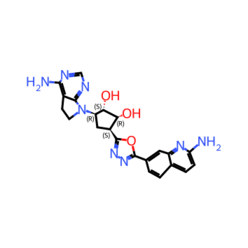 Nc1ccc2ccc(-c3nnc([C@H]4C[C@@H](N5CCc6c(N)ncnc65)[C@H](O)[C@@H]4O)o3)cc2n1